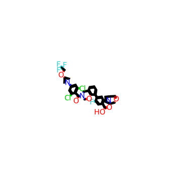 O=C(O)c1cc(F)c(-c2cccc3c2OCN(C(=O)c2c(Cl)cc(N4CC(OCC(F)(F)F)C4)cc2Cl)C3)cc1N1C2CCC1COC2